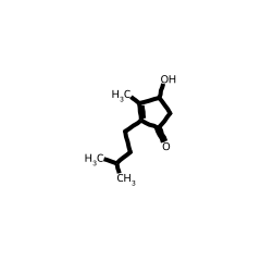 CC1=C(CCC(C)C)C(=O)CC1O